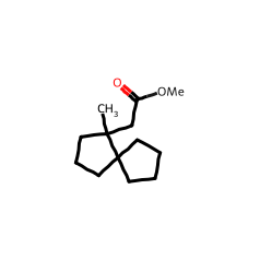 COC(=O)CC1(C)CCCC12CCCC2